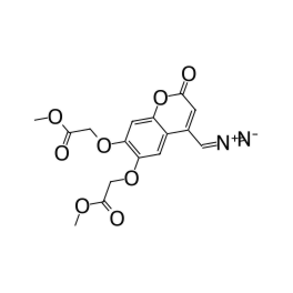 COC(=O)COc1cc2oc(=O)cc(C=[N+]=[N-])c2cc1OCC(=O)OC